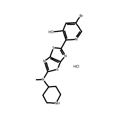 CN(c1nc2sc(-c3ncc(Br)cc3O)nc2s1)C1CCNCC1.Cl